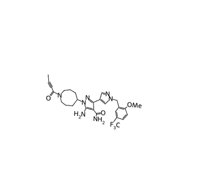 CC#CC(=O)N1CCCC(n2nc(-c3cnn(Cc4cc(C(F)(F)F)ccc4OC)c3)c(C(N)=O)c2N)CCC1